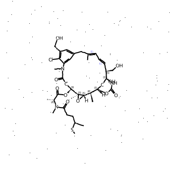 CSC(C)CCC(=O)N(C)[C@H](C)C(=O)O[C@H]1CC(=O)N(C)c2cc(cc(CO)c2Cl)C/C(C)=C/C=C/[C@@H](CO)[C@@]2(O)C[C@H](OC(=O)N2)[C@@H](C)[C@@H]2O[C@@]12C